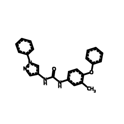 Cc1cc(NC(=O)Nc2cnn(-c3ccccc3)c2)ccc1Oc1ccccc1